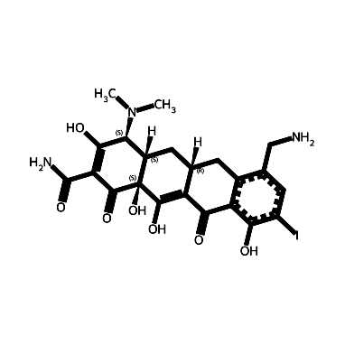 CN(C)[C@@H]1C(O)=C(C(N)=O)C(=O)[C@@]2(O)C(O)=C3C(=O)c4c(O)c(I)cc(CN)c4C[C@H]3C[C@@H]12